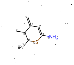 C=C1C=C(N)SC(C(C)C)C1C